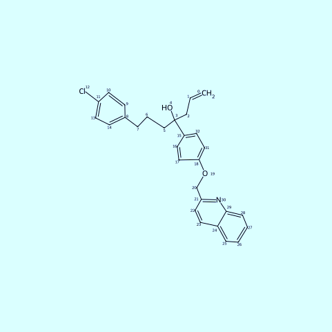 C=CCC(O)(CCCc1ccc(Cl)cc1)c1ccc(OCc2ccc3ccccc3n2)cc1